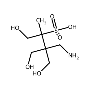 CC(CO)(C(CN)(CO)CO)S(=O)(=O)O